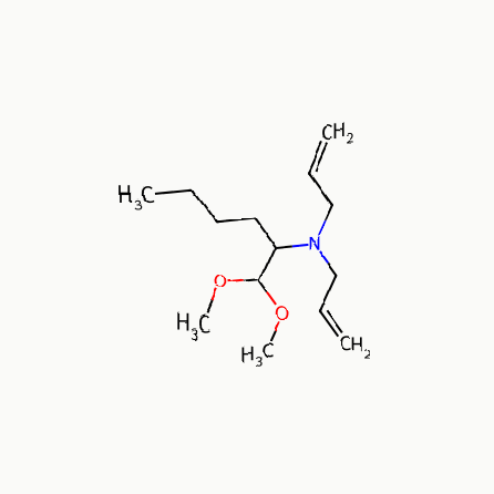 C=CCN(CC=C)C(CCCC)C(OC)OC